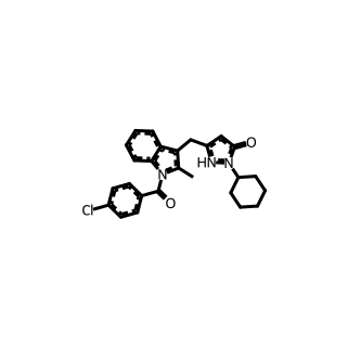 Cc1c(Cc2cc(=O)n(C3CCCCC3)[nH]2)c2ccccc2n1C(=O)c1ccc(Cl)cc1